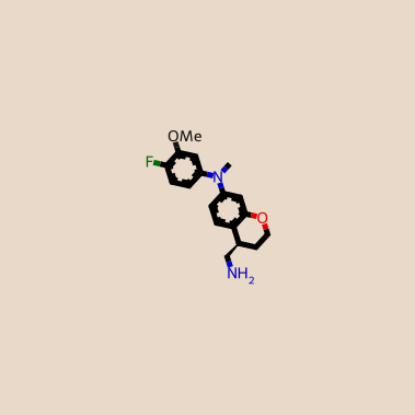 COc1cc(N(C)c2ccc3c(c2)OCC[C@H]3CN)ccc1F